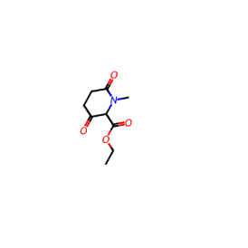 CCOC(=O)C1C(=O)CCC(=O)N1C